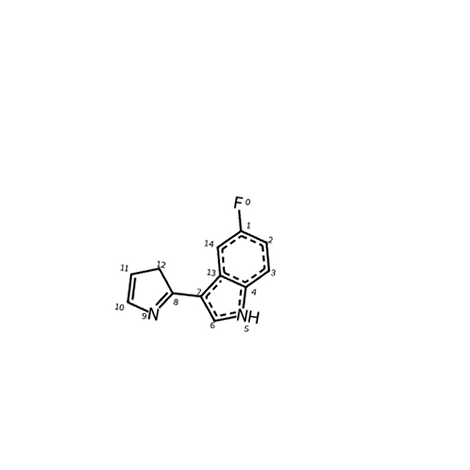 Fc1ccc2[nH]cc(C3=NC=CC3)c2c1